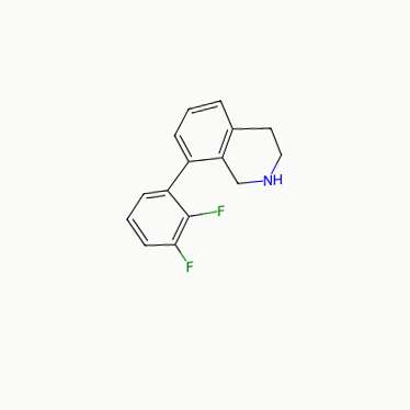 Fc1cccc(-c2cccc3c2CNCC3)c1F